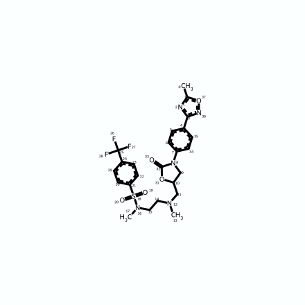 Cc1nc(-c2ccc(N3CC(CN(C)CCN(C)S(=O)(=O)c4ccc(C(F)(F)F)cc4)OC3=O)cc2)no1